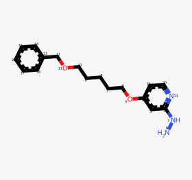 NNc1cc(OCCCCCOCc2ccccc2)ccn1